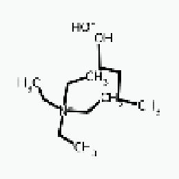 CCCCO.CC[N+](CC)(CC)CC.[OH-]